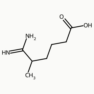 CC(CCCC(=O)O)C(=N)N